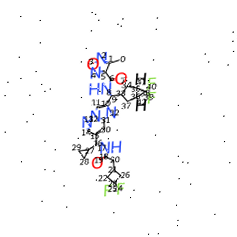 Cc1nonc1C(=O)N[C@H](c1cn2ncc([C@H](NC(=O)CC3CC(F)(F)C3)C3CC3)cc2n1)C1C[C@@H]2[C@H](C1)C2(F)F